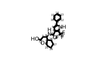 O=C(O)CC(NC(=O)c1cc(-c2ccccc2)[nH]c1C(F)(F)F)C1CCCCC1